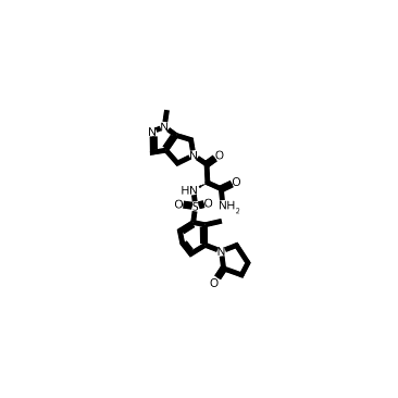 Cc1c(N2CCCC2=O)cccc1S(=O)(=O)N[C@@H](C(N)=O)C(=O)N1Cc2cnn(C)c2C1